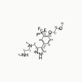 CNCCN(C)Cc1n[nH]cc1-c1ccc(OCCOC)c(C(F)(F)F)c1